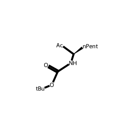 CCCCC[C@@H](NC(=O)OC(C)(C)C)C(C)=O